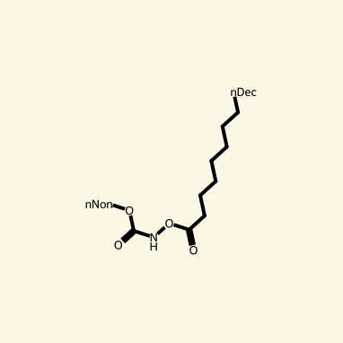 CCCCCCCCCCCCCCCCCC(=O)ONC(=O)OCCCCCCCCC